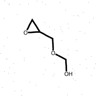 OCOCC1CO1